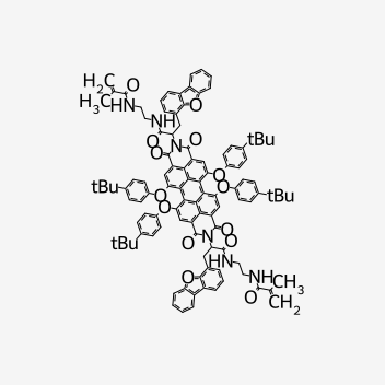 C=C(C)C(=O)NCCNC(=O)C(Cc1cccc2c1oc1ccccc12)N1C(=O)c2cc(Oc3ccc(C(C)(C)C)cc3)c3c4c(Oc5ccc(C(C)(C)C)cc5)cc5c6c(cc(Oc7ccc(C(C)(C)C)cc7)c(c7c(Oc8ccc(C(C)(C)C)cc8)cc(c2c37)C1=O)c64)C(=O)N(C(Cc1cccc2c1oc1ccccc12)C(=O)NCCNC(=O)C(=C)C)C5=O